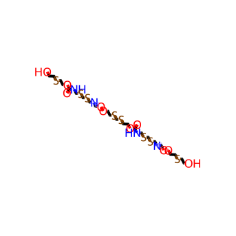 O=C(NCSCSC/N=C/OOCCSCSCCOC(=O)NCSCSC/N=C/OOCCSCCO)OCCSCCO